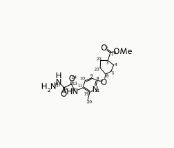 COC(=O)C1CCC(Oc2ccc(NC(=O)C(=O)NN)c(C)n2)CC1